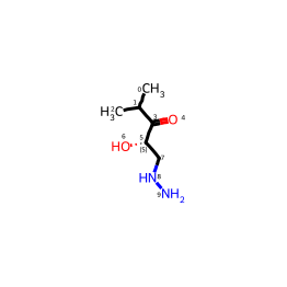 CC(C)C(=O)[C@@H](O)CNN